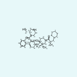 C[C@H](CC1CCCCC1)C(=O)N1CC[C@@](O)(CN2C=C(C(=O)N3CCNC[C@H]3CO)C(c3ccccc3)=CC2)C(C)(C)C1